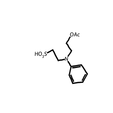 CC(=O)OCCN(CCS(=O)(=O)O)c1ccccc1